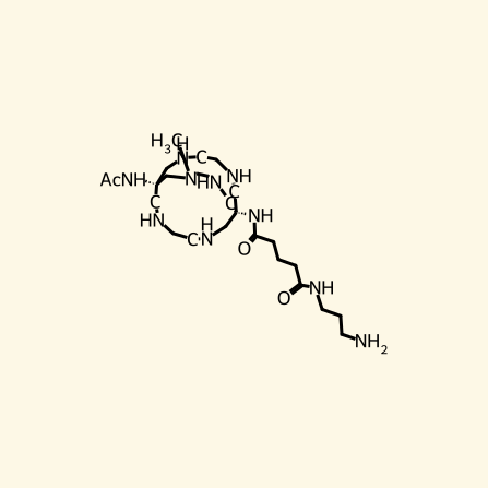 CC(=O)N[C@]12CNCCNC[C@](NC(=O)CCCC(=O)NCCCN)(CNCCNC1)CNCCN(C)C2